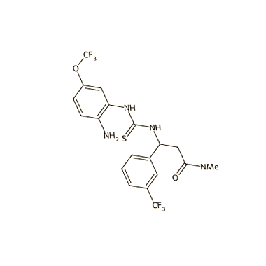 CNC(=O)CC(NC(=S)Nc1cc(OC(F)(F)F)ccc1N)c1cccc(C(F)(F)F)c1